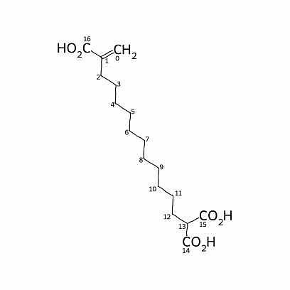 C=C(CCCCCCCCCCCC(C(=O)O)C(=O)O)C(=O)O